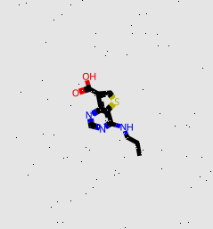 CCCNc1ncnc2c(C(=O)O)csc12